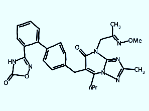 CCCc1c(Cc2ccc(-c3ccccc3-c3noc(=O)[nH]3)cc2)c(=O)n(CC(C)=NOC)c2nc(C)nn12